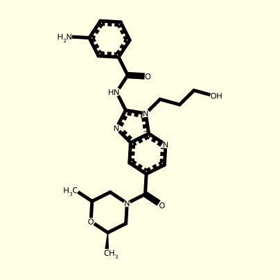 CC1CN(C(=O)c2cnc3c(c2)nc(NC(=O)c2cccc(N)c2)n3CCCO)C[C@@H](C)O1